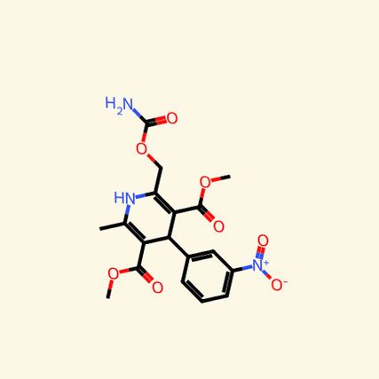 COC(=O)C1=C(C)NC(COC(N)=O)=C(C(=O)OC)C1c1cccc([N+](=O)[O-])c1